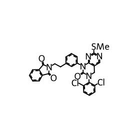 CSc1ncc2c(n1)N(c1cccc(CCN3C(=O)c4ccccc4C3=O)c1)C(=O)N(c1c(Cl)cccc1Cl)C2